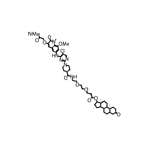 CNC(=O)COc1cc2cc(Nc3nc(N4CCC(C(=O)NCCOCCOCCC(=O)OC5CCC6C7CCC8CC(=O)CC[C@]8(C)C7CC[C@]56C)CC4)ncc3Cl)cc(OC)c2n(C)c1=O